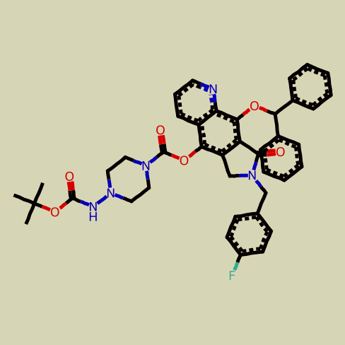 CC(C)(C)OC(=O)NN1CCN(C(=O)Oc2c3c(c(OC(c4ccccc4)c4ccccc4)c4ncccc24)C(=O)N(Cc2ccc(F)cc2)C3)CC1